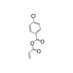 C=CC(=O)OC(=O)c1ccc(Cl)cc1